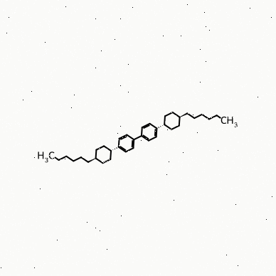 CCCCCC[C@H]1CC[C@H](c2ccc(-c3ccc([C@H]4CC[C@H](CCCCCC)CC4)cc3)cc2)CC1